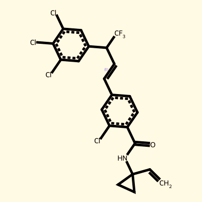 C=CC1(NC(=O)c2ccc(/C=C/C(c3cc(Cl)c(Cl)c(Cl)c3)C(F)(F)F)cc2Cl)CC1